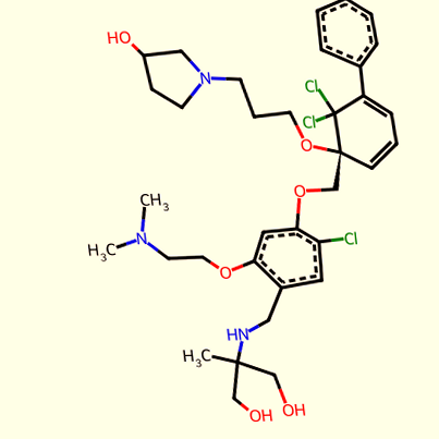 CN(C)CCOc1cc(OC[C@]2(OCCCN3CCC(O)C3)C=CC=C(c3ccccc3)C2(Cl)Cl)c(Cl)cc1CNC(C)(CO)CO